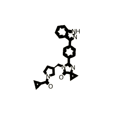 O=C(C1CC1)N1CC[C@@H](CN2C(=O)C3(CC3)N=C2c2ccc(-c3n[nH]c4ccccc34)cc2)C1